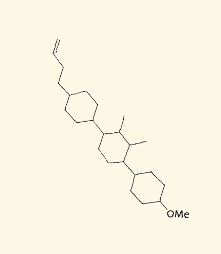 C=CCCC1CCC(C2CCC(C3CCC(OC)CC3)C(C)C2C)CC1